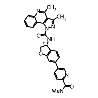 CNC(=O)c1ccc(-c2ccc3c(c2)OC[C@H]3NC(=O)n2nc(C)c3c(C)nc4ccccc4c32)cn1